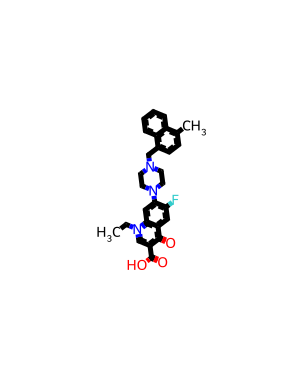 CCn1cc(C(=O)O)c(=O)c2cc(F)c(N3CCN(Cc4ccc(C)c5ccccc45)CC3)cc21